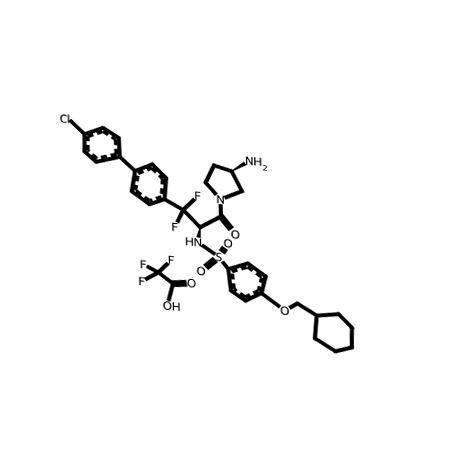 N[C@@H]1CCN(C(=O)[C@@H](NS(=O)(=O)c2ccc(OCC3CCCCC3)cc2)C(F)(F)c2ccc(-c3ccc(Cl)cc3)cc2)C1.O=C(O)C(F)(F)F